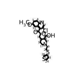 COc1ccc2ncc(Cl)c(C(=O)CCC3CCN(CCSc4ccsc4)CC3C(=O)O)c2c1